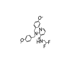 COc1ccc(CN(Cc2ccc(OC)cc2)c2ncccc2[C@@H](C)NCC(F)F)cc1